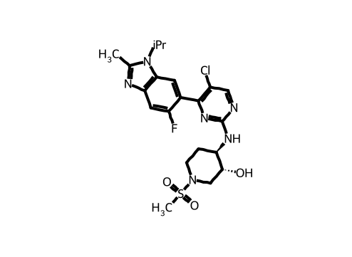 Cc1nc2cc(F)c(-c3nc(N[C@@H]4CCN(S(C)(=O)=O)C[C@H]4O)ncc3Cl)cc2n1C(C)C